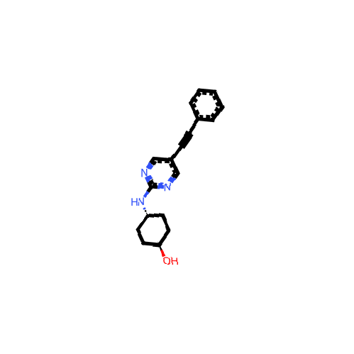 O[C@H]1CC[C@H](Nc2ncc(C#Cc3ccccc3)cn2)CC1